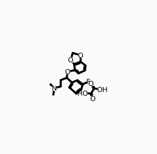 CN(C)CCC(Oc1cccc2c1OCO2)c1cccc(F)c1.O=C(O)C(=O)O